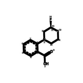 O=C(O)c1ccccc1N1CCS[C@H](F)C1